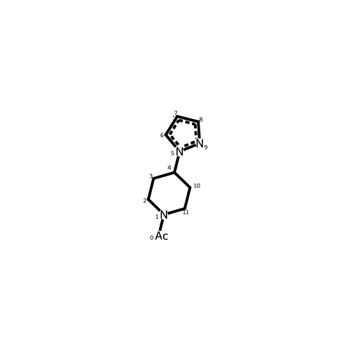 CC(=O)N1CCC(n2c[c]cn2)CC1